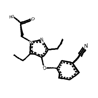 CCc1nn(CC(=O)O)c(CC)c1Oc1cccc(C#N)c1